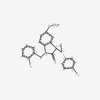 O=C(O)Oc1ccc2c(c1)[C@]1(C[C@@H]1c1ccc(F)cc1)C(=O)N2Cc1ccccc1F